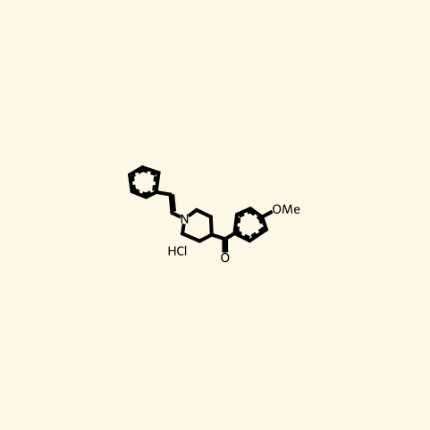 COc1ccc(C(=O)C2CCN(C=Cc3ccccc3)CC2)cc1.Cl